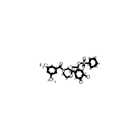 O=C(c1cc(C(F)(F)F)cc(C(F)(F)F)c1)N1CCO[C@](CCOS(=O)(=O)c2ccccc2)(c2ccc(Cl)c(Cl)c2)C1